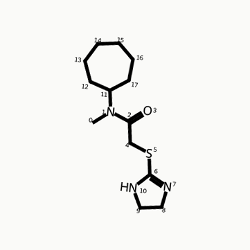 CN(C(=O)CSC1=NCCN1)C1CCCCCC1